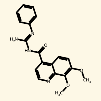 COc1ccc2c(C(=O)NC(N)=Nc3ccccc3)ccnc2c1OC